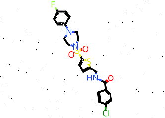 O=C(NCc1ccc(S(=O)(=O)N2CCN(c3ccc(F)cc3)CC2)s1)c1ccc(Cl)cc1